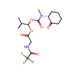 CC(C)C(OC(=O)CNC(=O)C(F)(F)F)OC(=O)N(C)[C@@H]1CCCCC1=O